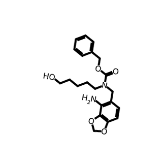 Nc1c(CN(CCCCCO)C(=O)OCc2ccccc2)ccc2c1OCO2